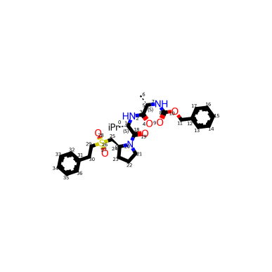 CC(C)[C@H](NC(=O)[C@H](C)NC(=O)OCc1ccccc1)C(=O)N1CCC[C@H]1CS(=O)(=O)CCc1ccccc1